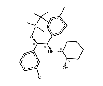 CC(C)(C)[Si](C)(C)O[C@H](c1cccc(Cl)c1)[C@H](N[C@@H]1CCCC[C@@H]1O)c1ccc(Cl)cc1